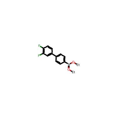 CCO[SiH](OCC)c1ccc(-c2ccc(F)c(F)c2)cc1